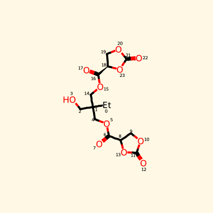 CCC(CO)(COC(=O)C1COC(=O)O1)COC(=O)[C@H]1COC(=O)O1